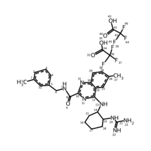 Cc1cccc(CNC(=O)c2nc(NC3CCCCC3NC(=N)N)c3cc(C)ccc3n2)c1.O=C(O)C(F)(F)F.O=C(O)C(F)(F)F